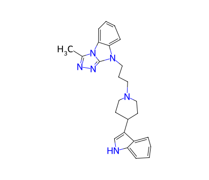 Cc1nnc2n(CCCN3CCC(c4c[nH]c5ccccc45)CC3)c3ccccc3n12